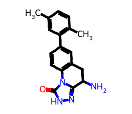 Cc1ccc(C)c(-c2ccc3c(c2)CC(N)c2n[nH]c(=O)n2-3)c1